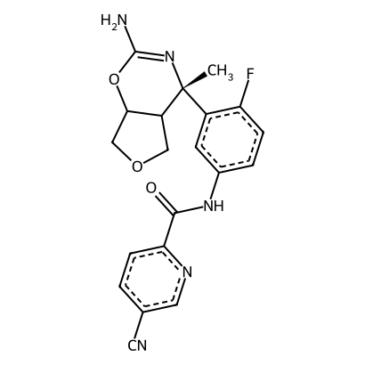 C[C@]1(c2cc(NC(=O)c3ccc(C#N)cn3)ccc2F)N=C(N)OC2COCC21